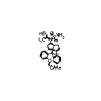 C=C(c1ccccc1OCOC)C12CCC(N(C(C)CCCC)S(N)(=O)=O)C1CC=C2c1ccccc1